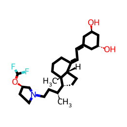 C[C@H](CCN1CC[C@@H](OC(F)F)C1)[C@H]1CC[C@H]2/C(=C/C=C3C[C@@H](O)C[C@H](O)C3)CCC[C@]12C